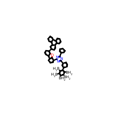 Bc1c(B)c(B)c(-c2cccc(-c3nc(-c4ccccc4)nc(-c4cccc5c4oc4c(-c6ccc7c8ccccc8c8ccccc8c7c6)cccc45)n3)c2)c(B)c1B